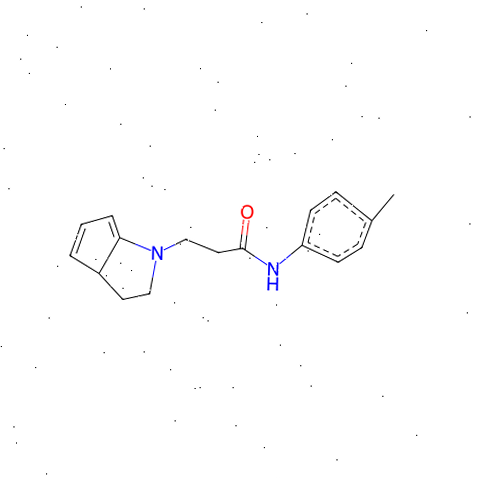 Cc1ccc(NC(=O)CCN2CCC3C=CC=C32)cc1